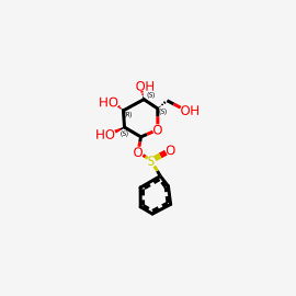 O=S(OC1O[C@@H](CO)[C@@H](O)[C@@H](O)[C@@H]1O)c1ccccc1